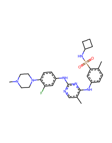 Cc1ccc(Nc2nc(Nc3ccc(N4CCN(C)CC4)c(F)c3)ncc2C)cc1S(=O)(=O)NC1CCC1